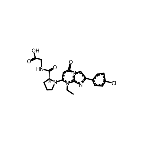 CCn1c(N2CCC[C@H]2C(=O)NCC(=O)O)cc(=O)n2cc(-c3ccc(Cl)cc3)nc12